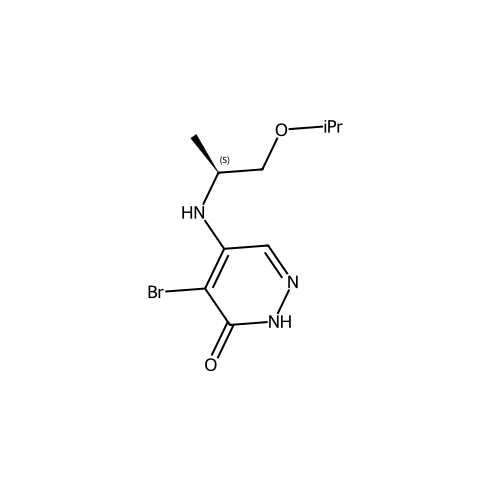 CC(C)OC[C@H](C)Nc1cn[nH]c(=O)c1Br